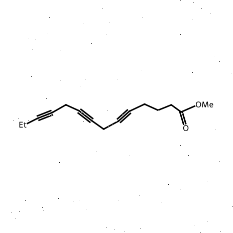 CCC#CCC#CCC#CCCCC(=O)OC